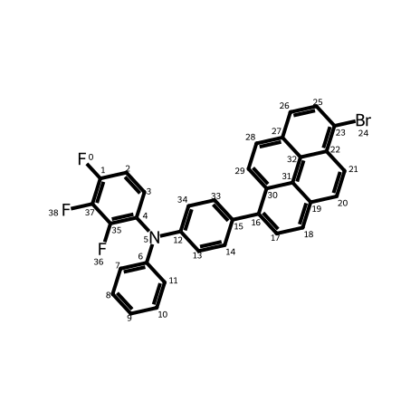 Fc1ccc(N(c2ccccc2)c2ccc(-c3ccc4ccc5c(Br)ccc6ccc3c4c65)cc2)c(F)c1F